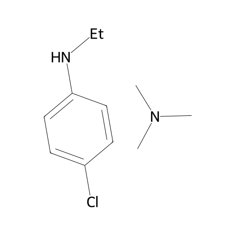 CCNc1ccc(Cl)cc1.CN(C)C